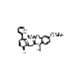 COc1ccc(NC(=O)Cn2nc(-c3ccco3)ccc2=O)c(OC)c1